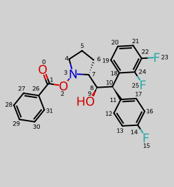 O=C(ON1CCC[C@@H]1[C@H](O)[C@H](c1ccc(F)cc1)c1cccc(F)c1F)c1ccccc1